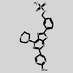 CNc1ncc(-c2nc(N3CCOCC3)c3nc(-c4cccc(CNS(C)(=O)=O)c4)sc3n2)cn1